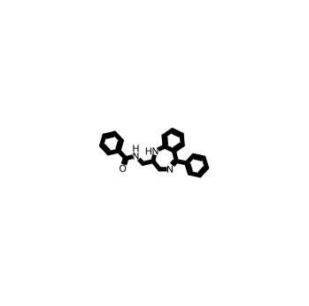 O=C(NCC1CN=C(c2ccccc2)c2ccccc2N1)c1ccccc1